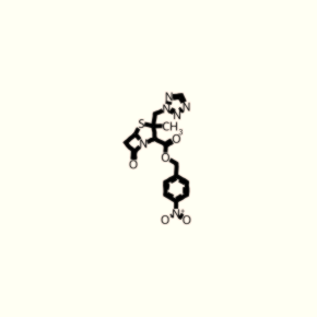 CC1(Cn2ncnn2)SC2CC(=O)N2C1C(=O)OCc1ccc([N+](=O)[O-])cc1